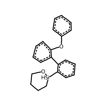 c1ccc(Oc2ccccc2-c2ccccc2[SiH]2CCCCO2)cc1